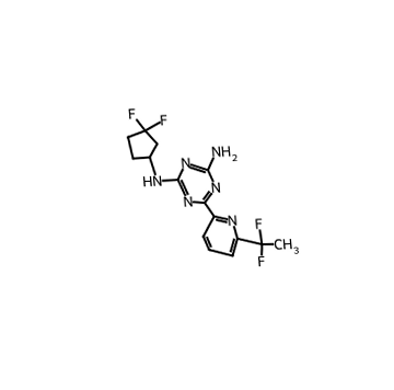 CC(F)(F)c1cccc(-c2nc(N)nc(NC3CCC(F)(F)C3)n2)n1